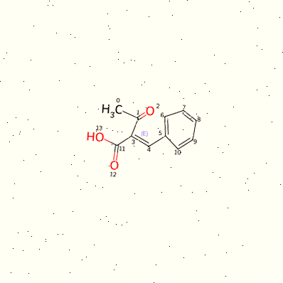 CC(=O)/C(=C\c1ccccc1)C(=O)O